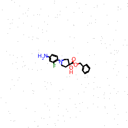 Nc1ccc(N2CCC(O)(C(=O)OCc3ccccc3)CC2)c(F)c1